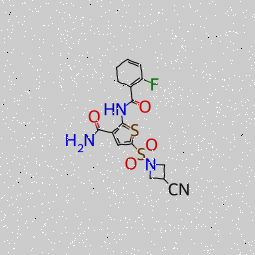 N#CC1CN(S(=O)(=O)c2cc(C(N)=O)c(NC(=O)C3=C(F)C=CCC3)s2)C1